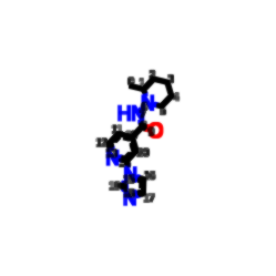 CC1CCCCN1NC(=O)c1ccnc(-n2ccnc2)c1